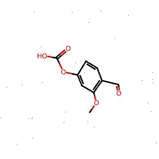 COc1cc(OC(=O)O)ccc1C=O